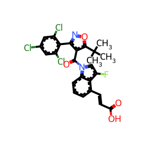 CC(C)(C)c1onc(-c2c(Cl)cc(Cl)cc2Cl)c1C(=O)n1cc(F)c2c(/C=C/C(=O)O)cccc21